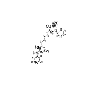 CC(C)NC(=O)N(CCCCCCNC(=NC#N)Nc1ccncc1)OCC1CCCCC1